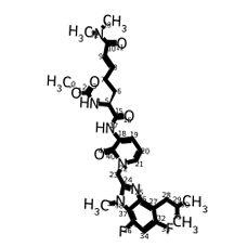 COC(=O)N[C@@H](CC/C=C/C(=O)N(C)C)C(=O)Nc1cccn(Cc2nc3c(CC(C)C)c(F)cc(F)c3n2C)c1=O